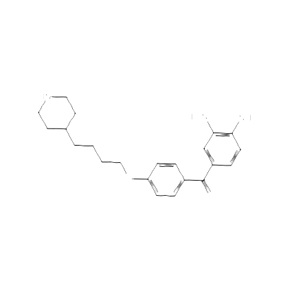 Nc1ccc(C(=O)c2ccc(OCCCCC3CCNCC3)cc2)cc1N